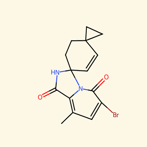 Cc1cc(Br)c(=O)n2c1C(=O)NC21C=CC2(CC2)CC1